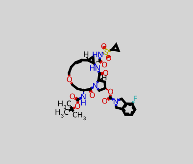 CC(C)(C)OC(=O)N[C@H]1CCOCC/C=C\[C@@H]2C[C@@]2(C(=O)NS(=O)(=O)C2CC2)NC(=O)[C@@H]2C[C@@H](OC(=O)N3Cc4cccc(F)c4C3)CN2C1=O